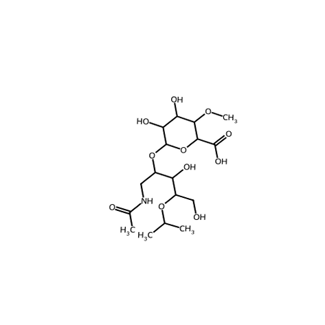 COC1C(C(=O)O)OC(OC(CNC(C)=O)C(O)C(CO)OC(C)C)C(O)C1O